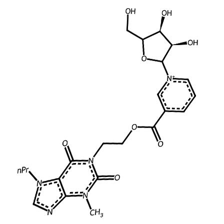 CCCn1cnc2c1c(=O)n(CCOC(=O)c1ccc[n+](C3OC(CO)[C@@H](O)[C@H]3O)c1)c(=O)n2C